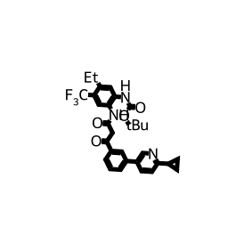 CCc1cc(NC(=O)OC(C)(C)C)c(NC(=O)CC(=O)c2cccc(-c3ccc(C4CC4)nc3)c2)cc1C(F)(F)F